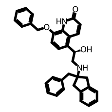 O=c1ccc2c([C@@H](O)CNC3(Cc4ccccc4)Cc4ccccc4C3)ccc(OCc3ccccc3)c2[nH]1